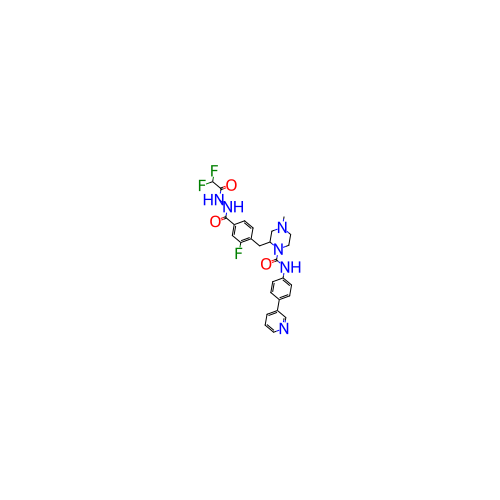 CN1CCN(C(=O)Nc2ccc(-c3cccnc3)cc2)C(Cc2ccc(C(=O)NNC(=O)C(F)F)cc2F)C1